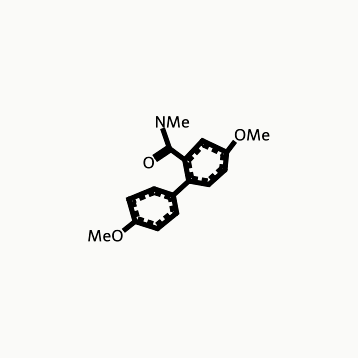 CNC(=O)c1cc(OC)ccc1-c1ccc(OC)cc1